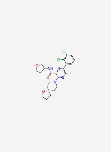 Cc1nc(N2CCC3(CCCO3)CC2)c(C(=O)NC2CCOC2)nc1-c1cccc(Cl)c1Cl